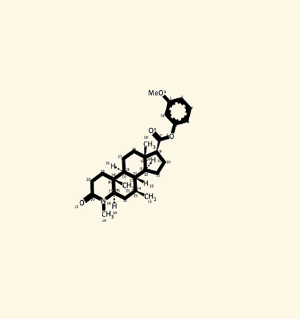 COc1cccc(OC(=O)[C@H]2CC[C@H]3[C@@H]4[C@@H](C)C[C@H]5N(C)C(=O)CC[C@]5(C)[C@H]4CC[C@]23C)c1